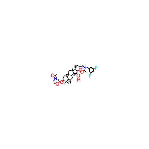 CC(=O)N(Cc1cc(F)cc(F)c1)CC1C[C@@H](C)C2C(O1)[C@H](O)[C@@]1(C)C3CC[C@H]4C(C)(C)C(OC5CN(C(C)=O)CCO5)CCC45CC35CCC21C